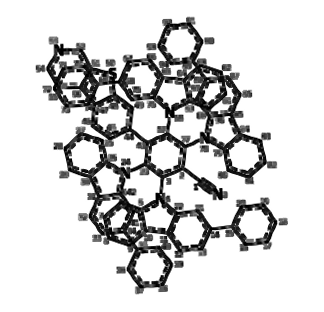 N#Cc1c(-n2c3ccccc3c3ccc(-c4ccccc4)cc32)c(-n2c3ccccc3c3ccc(-c4ccccc4)cc32)c(-c2ccc3c(c2)sc2cnccc23)c(-n2c3ccccc3c3ccc(-c4ccccc4)cc32)c1-n1c2ccccc2c2ccc(-c3ccccc3)cc21